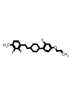 C=CCOc1ccc(C2CCC(CCc3ccc(C)c(F)c3F)CC2)c(F)c1